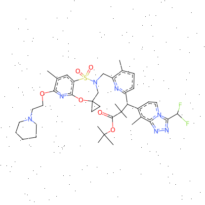 Cc1ccc(C(c2ccn3c(C(F)F)nnc3c2C)C(C)(C)C(=O)OC(C)(C)C)nc1CN1CC2(CC2)Oc2nc(OCCN3CCCCC3)c(C)cc2S1(=O)=O